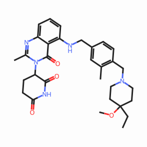 CCC1(OC)CCN(Cc2ccc(CNc3cccc4nc(C)n(C5CCC(=O)NC5=O)c(=O)c34)cc2C)CC1